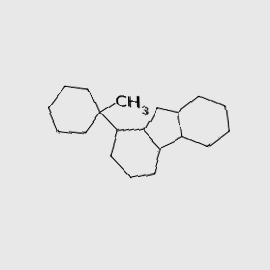 CC1(C2CCCC3C4CCCCC4CC32)CCCCC1